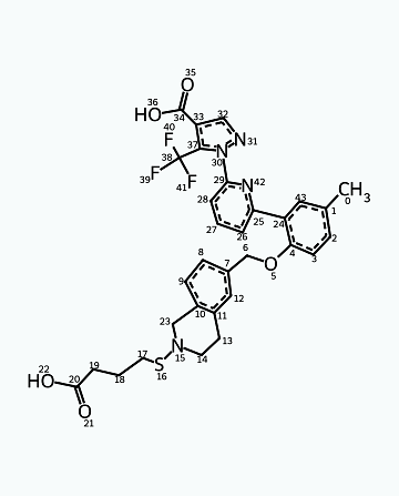 Cc1ccc(OCc2ccc3c(c2)CCN(SCCCC(=O)O)C3)c(-c2cccc(-n3ncc(C(=O)O)c3C(F)(F)F)n2)c1